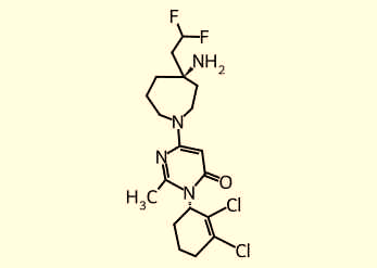 Cc1nc(N2CCC[C@](N)(CC(F)F)CC2)cc(=O)n1[C@H]1CCCC(Cl)=C1Cl